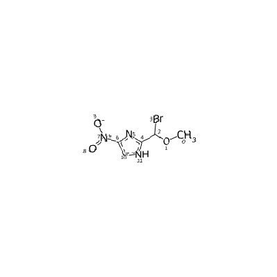 COC(Br)c1nc([N+](=O)[O-])c[nH]1